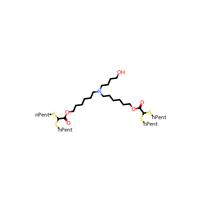 CCCCCSC(SCCCCC)C(=O)OCCCCCCN(CCCCO)CCCCCCOC(=O)C(SCCCCC)SCCCCC